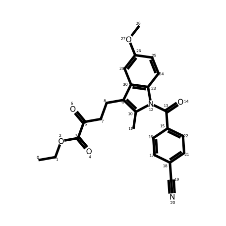 CCOC(=O)C(=O)CCc1c(C)n(C(=O)c2ccc(C#N)cc2)c2ccc(OC)cc12